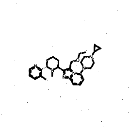 CCOCc1c(C2CCC[C@@H](c3ncccc3C)N2C)nc2cccc(N3CCN(C4CC4)CC3)n12